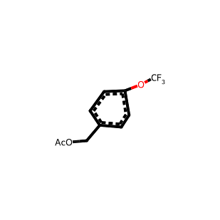 CC(=O)OCc1ccc(OC(F)(F)F)cc1